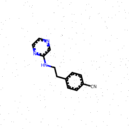 N#Cc1ccc(CCNc2cnccn2)cc1